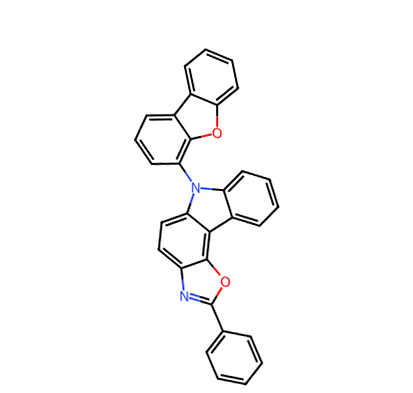 c1ccc(-c2nc3ccc4c(c5ccccc5n4-c4cccc5c4oc4ccccc45)c3o2)cc1